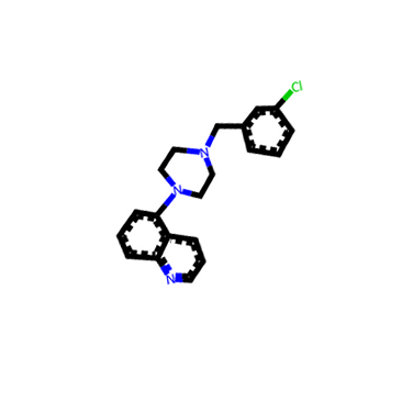 Clc1cccc(CN2CCN(c3cccc4ncccc34)CC2)c1